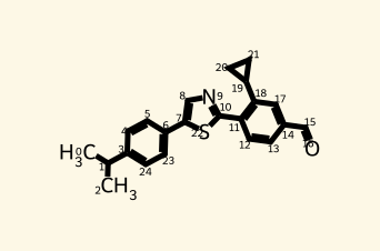 CC(C)c1ccc(-c2cnc(-c3ccc(C=O)cc3C3CC3)s2)cc1